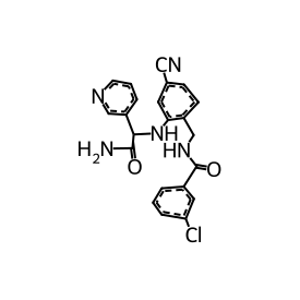 N#Cc1ccc(CNC(=O)c2cccc(Cl)c2)c(NC(C(N)=O)c2cccnc2)c1